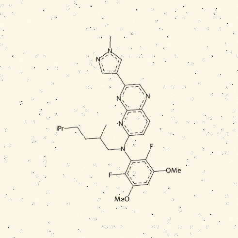 COc1cc(OC)c(F)c(N(CC(C)CCC(C)C)c2ccc3ncc(-c4cnn(C)c4)nc3n2)c1F